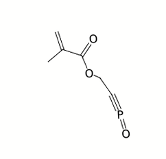 C=C(C)C(=O)OCC#P=O